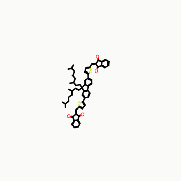 CC(C)CCCC(C)CCC1(CCC(C)CCCC(C)C)c2cc(-c3ccc(C=C4C(=O)c5ccccc5C4=O)s3)ccc2-c2ccc(-c3ccc(C=C4C(=O)c5ccccc5C4=O)s3)cc21